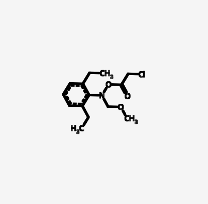 CCc1cccc(CC)c1N(COC)OC(=O)CCl